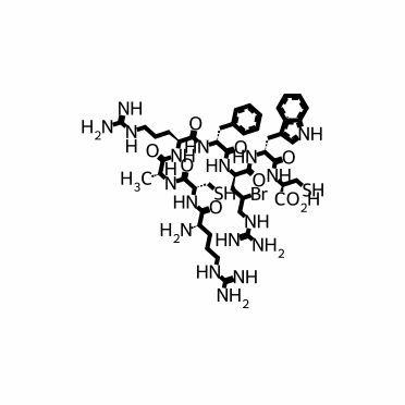 C[C@@H](NC(=O)[C@H](CS)NC(=O)[C@@H](N)CCCNC(=N)N)C(=O)N[C@@H](CCCNC(=N)N)C(=O)N[C@H](Cc1ccccc1)C(=O)N[C@H](CC(Br)CNC(=N)N)C(=O)N[C@H](Cc1c[nH]c2ccccc12)C(=O)N[C@@H](CS)C(=O)O